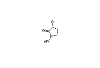 CCCN1CCC(CC)C1=O